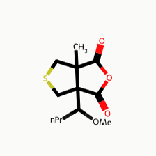 CCCC(OC)C12CSCC1(C)C(=O)OC2=O